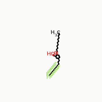 CCCCCCCCCCCCOc1ccc(CCCC(F)(F)C(F)(F)C(F)(F)C(F)(F)C(F)(F)C(F)(F)C(F)(F)C(F)(F)F)cc1CO